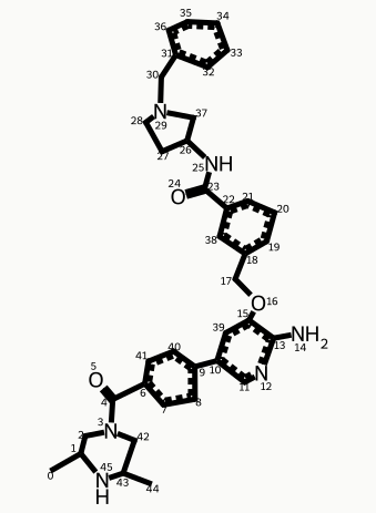 CC1CN(C(=O)c2ccc(-c3cnc(N)c(OCc4cccc(C(=O)NC5CCN(Cc6ccccc6)C5)c4)c3)cc2)CC(C)N1